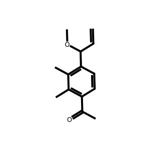 C=CC(OC)c1ccc(C(C)=O)c(C)c1C